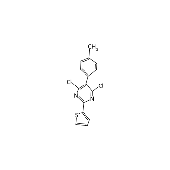 Cc1ccc(-c2c(Cl)nc(-c3cccs3)nc2Cl)cc1